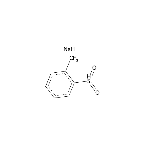 O=[SH](=O)c1ccccc1C(F)(F)F.[NaH]